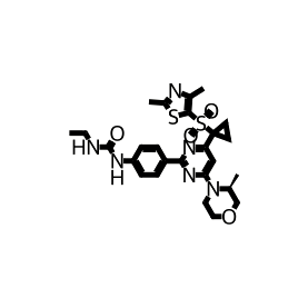 CCNC(=O)Nc1ccc(-c2nc(N3CCOC[C@@H]3C)cc(C3(S(=O)(=O)c4sc(C)nc4C)CC3)n2)cc1